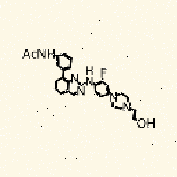 CC(=O)Nc1cccc(-c2cccc3cnc(Nc4ccc(N5CCN(CCO)CC5)cc4F)nc23)c1